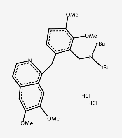 CCCCN(CCCC)Cc1c(Cc2nccc3cc(OC)c(OC)cc23)ccc(OC)c1OC.Cl.Cl